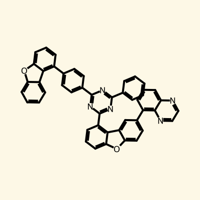 c1ccc(-c2nc(-c3ccc(-c4cccc5oc6ccccc6c45)cc3)nc(-c3cccc4oc5ccc(-c6cccc7nccnc67)cc5c34)n2)cc1